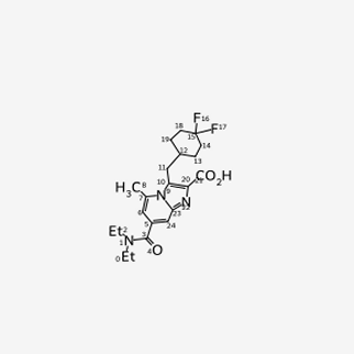 CCN(CC)C(=O)c1cc(C)n2c(CC3CCC(F)(F)CC3)c(C(=O)O)nc2c1